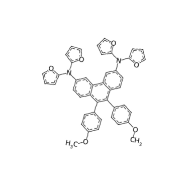 COc1ccc(-c2c(-c3ccc(OC)cc3)c3ccc(N(c4ccco4)c4ccco4)cc3c3cc(N(c4ccco4)c4ccco4)ccc23)cc1